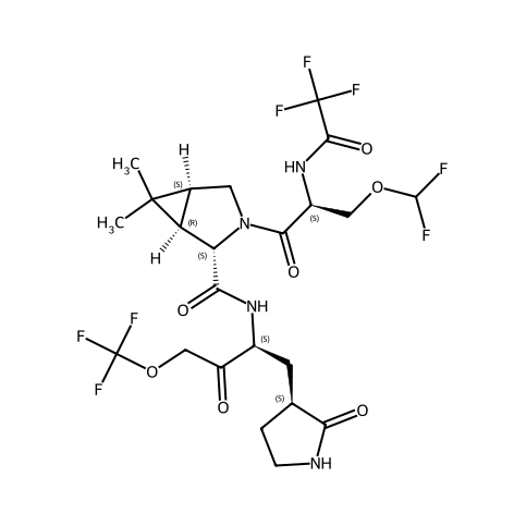 CC1(C)[C@@H]2[C@@H](C(=O)N[C@@H](C[C@@H]3CCNC3=O)C(=O)COC(F)(F)F)N(C(=O)[C@H](COC(F)F)NC(=O)C(F)(F)F)C[C@@H]21